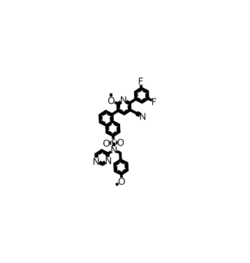 COc1ccc(CN(c2ccncn2)S(=O)(=O)c2ccc3c(-c4cc(C#N)c(-c5cc(F)cc(F)c5)nc4OC)cccc3c2)cc1